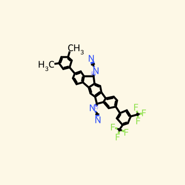 Cc1cc(C)cc(-c2ccc3c(c2)/c(=N\C#N)c2cc4c(cc23)/c(=N/C#N)c2cc(-c3cc(C(F)(F)F)cc(C(F)(F)F)c3)ccc24)c1